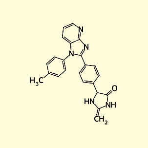 C=C1NC(=O)C(c2ccc(-c3nc4ncccc4n3-c3ccc(C)cc3)cc2)N1